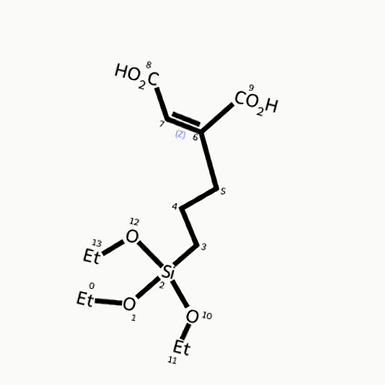 CCO[Si](CCC/C(=C/C(=O)O)C(=O)O)(OCC)OCC